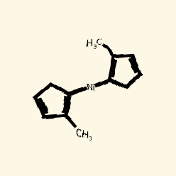 CC1=[C]([Ni][C]2=C(C)C=CC2)CC=C1